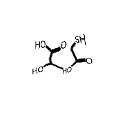 CC(O)C(=O)O.O=C(O)CS